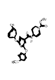 CC(C)(C)OC(=O)N1CCC(NC(=O)c2cc(Oc3ccc(C#N)cc3)nc(Oc3ccc(C#N)cc3)c2)CC1